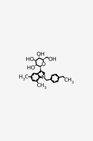 CCc1ccc(Cn2cc([C@@H]3O[C@H](CO)[C@@H](O)[C@H](O)[C@H]3O)c3cc(C)cc(C)c32)cc1